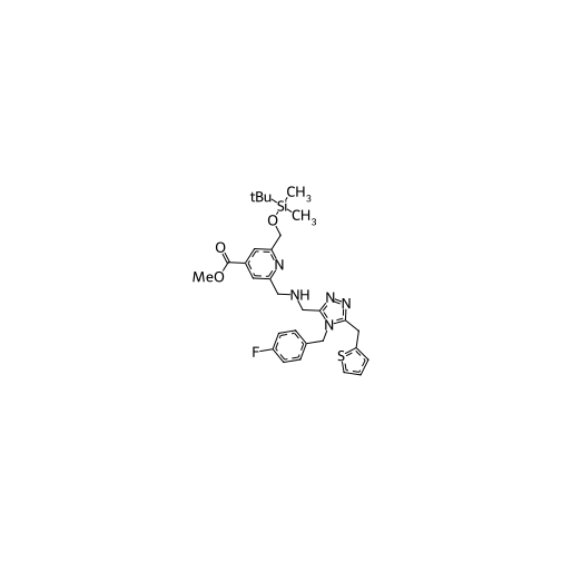 COC(=O)c1cc(CNCc2nnc(Cc3cccs3)n2Cc2ccc(F)cc2)nc(CO[Si](C)(C)C(C)(C)C)c1